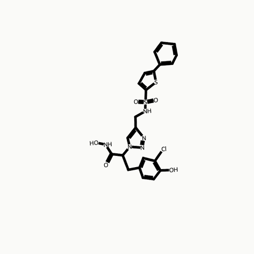 O=C(NO)C(Cc1ccc(O)c(Cl)c1)n1cc(CNS(=O)(=O)c2ccc(-c3ccccc3)s2)nn1